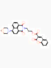 O=C(OCCCN1C(=O)c2cccc3c(N4CCOCC4)ccc(c23)C1=O)c1cc2ccccc2oc1=O